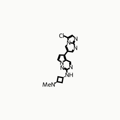 CN[C@H]1C[C@H](Nc2ncc3c(-c4cnc5ncc(Cl)n5c4)ccn3n2)C1